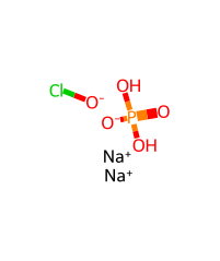 O=P([O-])(O)O.[Na+].[Na+].[O-]Cl